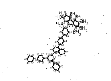 Bc1c(B)c(B)c2c(c1B)c1c(B)c(B)c(B)c(B)c1n2-c1ccc(-c2ccc(-c3ccc(-c4cc(-c5ccc(-c6ccccc6)cc5)nc(-c5ccccc5)n4)c4ccccc34)cc2)cc1